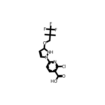 CC(C)(COC1C=CN(c2ccc(C(=O)O)c(Cl)n2)N1)C(F)(F)F